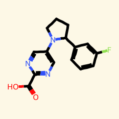 O=C(O)c1ncc(N2CCCC2c2cccc(F)c2)cn1